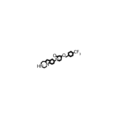 O=c1cc(OCc2ccc(C(F)(F)F)cc2)ccn1-c1ccc2c(c1)cc1n2CCNCC1